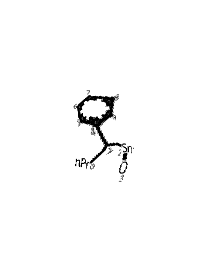 CCC[CH]([Sn]=[O])c1ccccc1